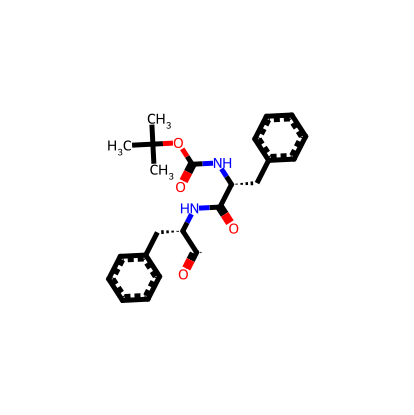 CC(C)(C)OC(=O)N[C@H](Cc1ccccc1)C(=O)N[C@H]([C]=O)Cc1ccccc1